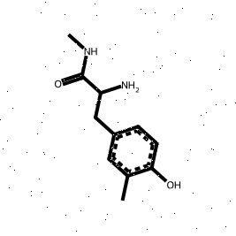 CNC(=O)C(N)Cc1ccc(O)c(C)c1